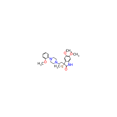 COc1cc2c(cc1OC)C(CCN1CCN(c3ccccc3OC)CC1)(SC)C(=O)N2